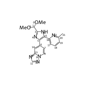 COC(OC)c1nc(-c2ccn3ncnc3c2)c(-c2cccc(C)n2)[nH]1